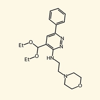 CCOC(OCC)c1cc(-c2ccccc2)nnc1NCCN1CCOCC1